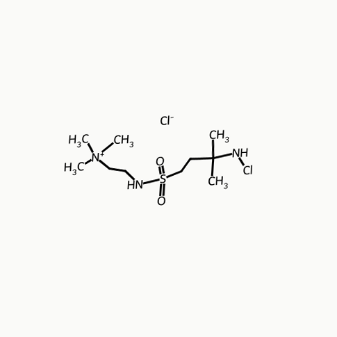 CC(C)(CCS(=O)(=O)NCC[N+](C)(C)C)NCl.[Cl-]